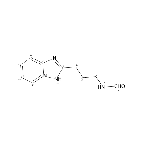 O=[C]NCCCc1nc2ccccc2[nH]1